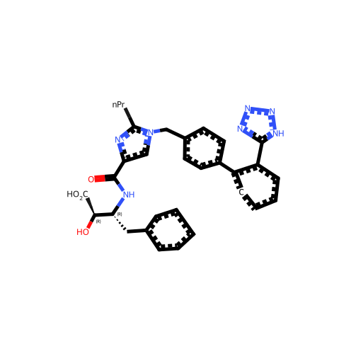 CCCc1nc(C(=O)N[C@H](Cc2ccccc2)[C@@H](O)C(=O)O)cn1Cc1ccc(-c2ccccc2-c2nnn[nH]2)cc1